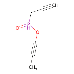 C#CC[PH](=O)OC#CC